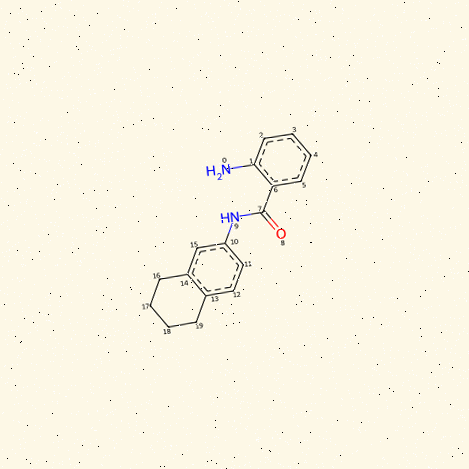 Nc1ccccc1C(=O)Nc1ccc2c(c1)CCCC2